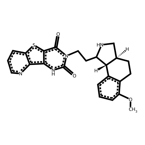 COc1cccc2c1CC[C@@H]1CNC(CCn3c(=O)[nH]c4c(sc5cccnc54)c3=O)[C@@H]21